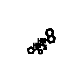 O=C(NC(=S)Nc1cccc2ccccc12)C1CCCC1